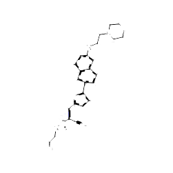 N#C/C(=C\c1ccc(-c2ccc3cc(NCCN4CCOCC4)ccc3c2)s1)S(=O)(=O)NCCO